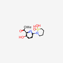 COC(=O)c1nc(N2CCCCS2(O)O)ccc1O